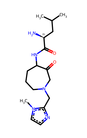 CC(C)C[C@H](N)C(=O)NC1CCCN(Cc2nccn2C)CC1=O